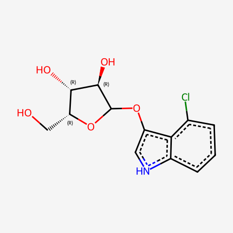 OC[C@H]1OC(Oc2c[nH]c3cccc(Cl)c23)[C@H](O)[C@H]1O